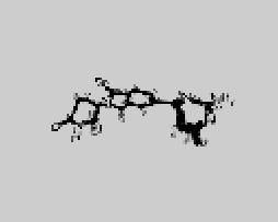 Cc1cc(-c2ccc3c(c2)CN(C2CCC(=O)NC2=O)C3=O)nc(N)n1